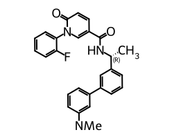 CNc1cccc(-c2cccc([C@@H](C)NC(=O)c3ccc(=O)n(-c4ccccc4F)c3)c2)c1